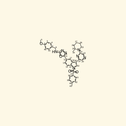 COc1ccc(CNc2nnc(-c3ccc4c(c3)c(-c3cncc(N5CCCCC5C)n3)cn4S(=O)(=O)c3ccc(C)cc3)o2)cc1